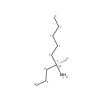 CCCCC[C@@](C)(N)CCC